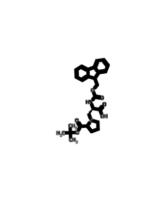 CC(C)(C)OC(=O)C1CCCN1C[C@H](NC(=O)OCC1c2ccccc2-c2ccccc21)C(=O)O